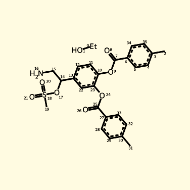 CCO.Cc1ccc(C(=O)Oc2ccc(C(CN)OS(C)(=O)=O)cc2OC(=O)c2ccc(C)cc2)cc1